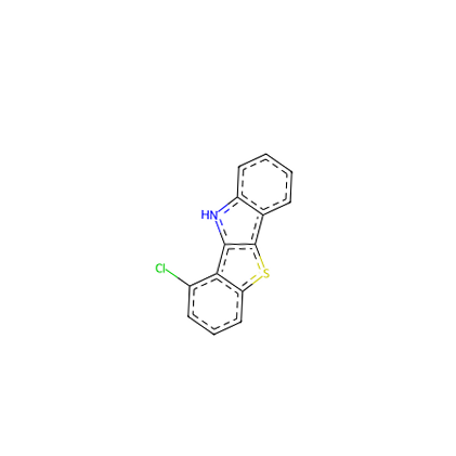 Clc1cccc2sc3c4ccccc4[nH]c3c12